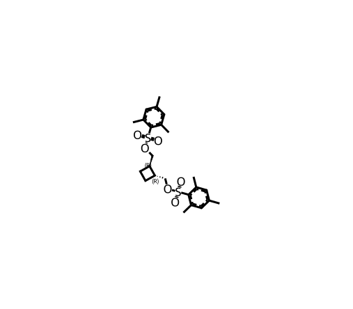 Cc1cc(C)c(S(=O)(=O)OC[C@@H]2CC[C@H]2COS(=O)(=O)c2c(C)cc(C)cc2C)c(C)c1